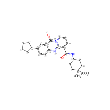 CC1(C(=O)O)CCC(NC(=O)c2cccn3c(=O)c4cc(C5CCCC5)ccc4nc23)CC1